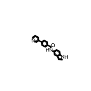 O=C(Nc1ccc2[nH]ccc2c1)c1ccc(-c2cccnc2)cc1